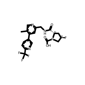 Cc1cnc(CNC(=O)[C@@H]2C[C@@H](F)CN2C(=O)O)cc1-c1ccc(C(F)(F)F)nc1